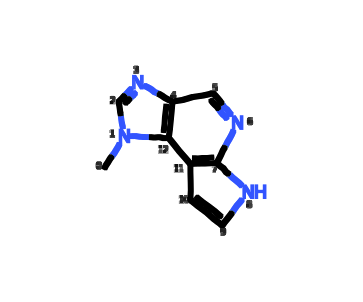 Cn1cnc2cnc3[nH]ccc3c21